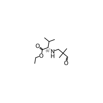 CCOC(=O)[C@@H](NCC(C)(C)C=O)C(C)C